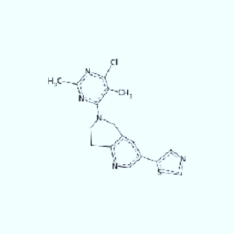 Cc1nc(Cl)c(C)c(N2CCc3ncc(-c4cncs4)cc3C2)n1